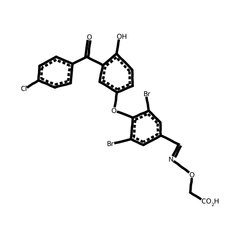 O=C(O)CON=Cc1cc(Br)c(Oc2ccc(O)c(C(=O)c3ccc(Cl)cc3)c2)c(Br)c1